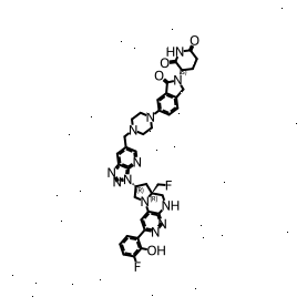 O=C1CC[C@H](N2Cc3ccc(N4CCN(Cc5cnc6c(c5)nnn6[C@H]5CN6c7cc(-c8cccc(F)c8O)nnc7NC[C@@]6(CF)C5)CC4)cc3C2=O)C(=O)N1